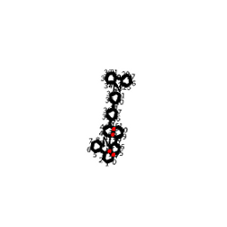 c1ccc(-c2ccccc2N(c2ccc(-c3ccc(-c4ccc(-n5c6ccccc6c6ccccc65)cc4)cc3)cc2)c2ccccc2-c2ccccc2)cc1